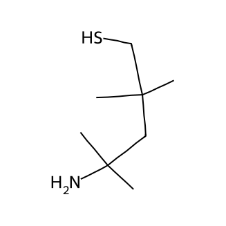 CC(C)(N)CC(C)(C)CS